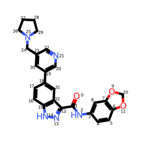 O=C(Nc1ccc2c(c1)OCO2)c1n[nH]c2ccc(-c3cncc(CN4CCCC4)c3)cc12